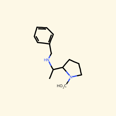 CC(NCc1ccccc1)C1CCCN1C(=O)O